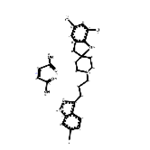 Fc1ccc2c(CCCN3CCC4(CC3)Cc3cc(Cl)cc(Cl)c3O4)noc2c1.O=C(O)/C=C\C(=O)O